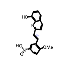 COc1ccc([N+](=O)O)cc1/C=C/c1ccc2cccc(O)c2n1